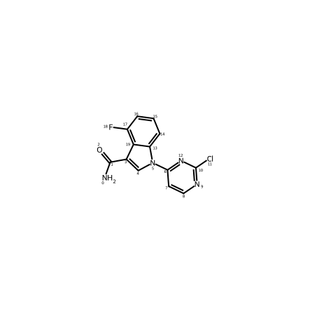 NC(=O)c1cn(-c2ccnc(Cl)n2)c2cccc(F)c12